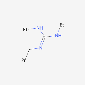 CCNC(=NCC(C)C)NCC